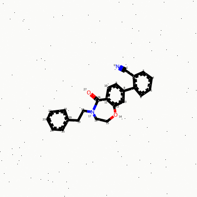 N#Cc1ccccc1-c1ccc2c(c1)OCCN(CCc1ccccc1)C2=O